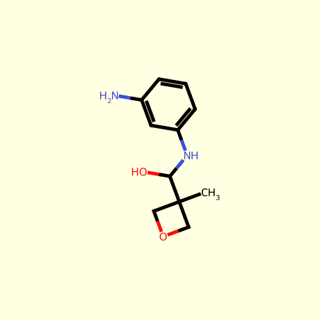 CC1(C(O)Nc2cccc(N)c2)COC1